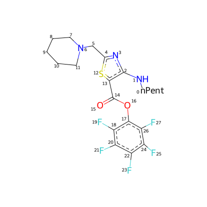 CCCCCNc1nc(CN2CCCCC2)sc1C(=O)Oc1c(F)c(F)c(F)c(F)c1F